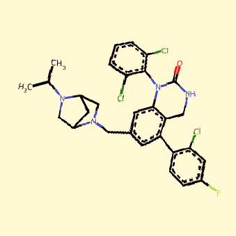 CC(C)N1CC2CC1CN2Cc1cc(-c2ccc(F)cc2Cl)c2c(c1)N(c1c(Cl)cccc1Cl)C(=O)NC2